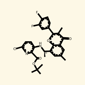 Cc1cc([C@@H](C)Nc2ccc(Cl)nc2C(=O)OC(C)(C)C)c2oc(-c3ccc(F)c(F)c3)c(C)c(=O)c2c1